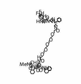 CN[C@@H](C)C(=O)N[C@H](C(=O)N1C[C@@H](NC(=O)CCOCCOCCOCCOCCOCCC(=O)N2CC([C@@H](c3ccccc3)n3cc(NC(=O)c4n[nH]c5c4C[C@@H]4C(F)(F)[C@]4(C)C5)cn3)C2)C[C@H]1C(=O)N[C@@H]1CCCc2ccccc21)C1CCCCC1